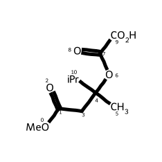 COC(=O)CC(C)(OC(=O)C(=O)O)C(C)C